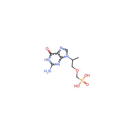 CC(COCP(=O)(O)O)n1cnc2c(=O)[nH]c(N)nc21